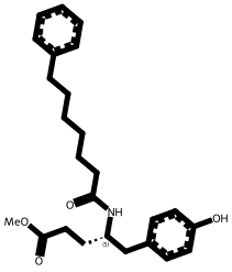 COC(=O)CC[C@@H](Cc1ccc(O)cc1)NC(=O)CCCCCCc1ccccc1